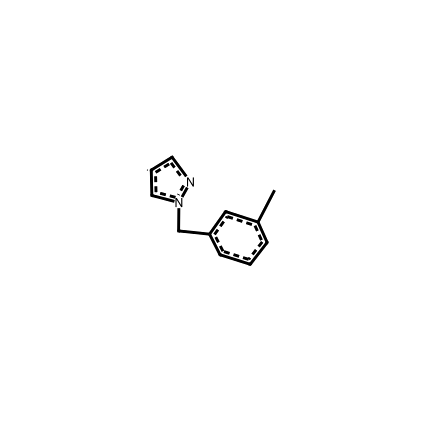 Cc1cccc(Cn2c[c]cn2)c1